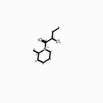 CCC(Cl)C(=O)N1CCCCC1C